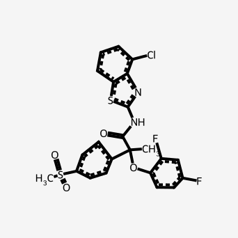 CC(Oc1ccc(F)cc1F)(C(=O)Nc1nc2c(Cl)cccc2s1)c1ccc(S(C)(=O)=O)cc1